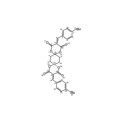 CC(C)(C)c1ccc(C=C2C(=O)OC3(CCC4(CC3)OC(=O)C(=Cc3ccc(C(C)(C)C)cc3)C(=O)O4)OC2=O)cc1